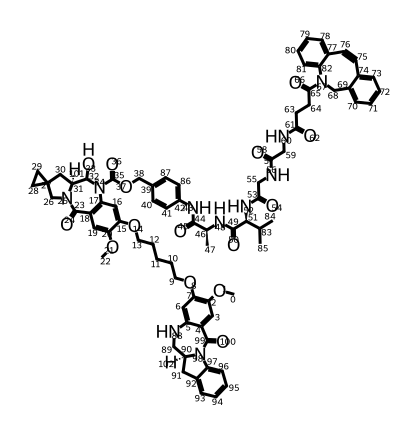 COc1cc2c(cc1OCCCCCOc1cc3c(cc1OC)C(=O)N1CC4(CC4)C[C@H]1C(O)N3C(=O)OCc1ccc(NC(=O)[C@H](C)NC(=O)[C@@H](NC(=O)CNC(=O)CNC(=O)CCC(=O)N3Cc4ccccc4C#Cc4ccccc43)C(C)C)cc1)NC[C@@H]1Cc3ccccc3N1C2=O